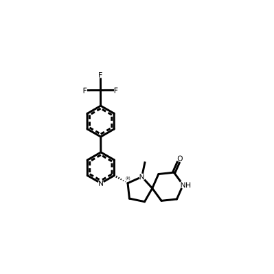 CN1[C@@H](c2cc(-c3ccc(C(F)(F)F)cc3)ccn2)CCC12CCNC(=O)C2